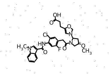 CO[C@H]1CC(N2C=C(CCC(=O)O)OC2)N(C(=O)Cc2cc(Cl)c(NC(=O)c3cn(C)c4ccccc34)cc2F)C1